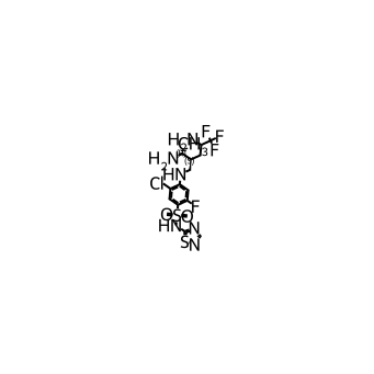 C[C@@H](N)[C@H](CNc1cc(F)c(S(=O)(=O)Nc2ncns2)cc1Cl)CC(N)C(F)(F)F